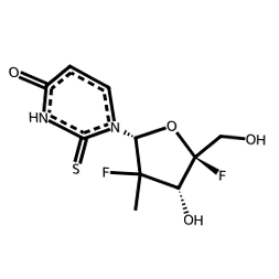 CC1(F)[C@@H](O)[C@@](F)(CO)O[C@H]1n1ccc(=O)[nH]c1=S